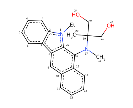 CCn1c2ccccc2c2cc3ccccc3c(N(C)C(C)(CO)CO)c21